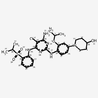 CC(C)Oc1cc(N2CCC(O)CC2)ccc1Nc1nc(N)c(Cl)c(Nc2ccccc2S(=O)(=O)C(C)C)n1